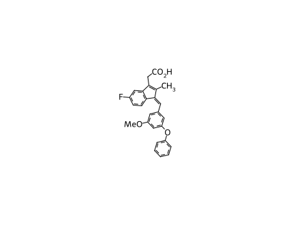 COc1cc(/C=C2/C(C)=C(CC(=O)O)c3cc(F)ccc32)cc(Oc2ccccc2)c1